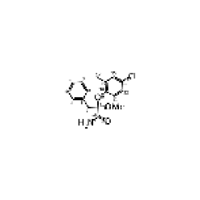 COC(Cc1ccccc1)(Oc1ccc(Cl)cc1C)C(N)=O